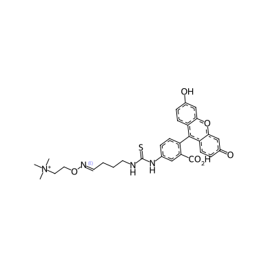 C[N+](C)(C)CCO/N=C/CCCNC(=S)Nc1ccc(-c2c3ccc(=O)cc-3oc3cc(O)ccc23)c(C(=O)O)c1